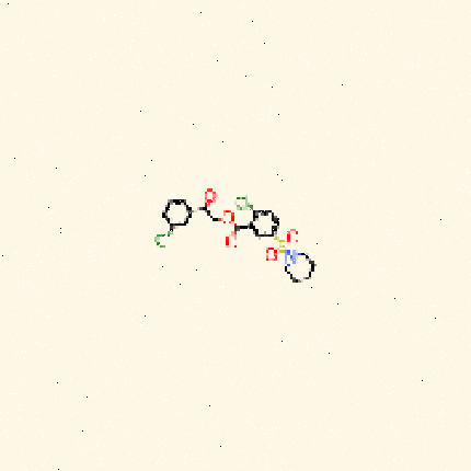 O=C(COC(=O)c1cc(S(=O)(=O)N2CCCCC2)ccc1Cl)c1cccc(Cl)c1